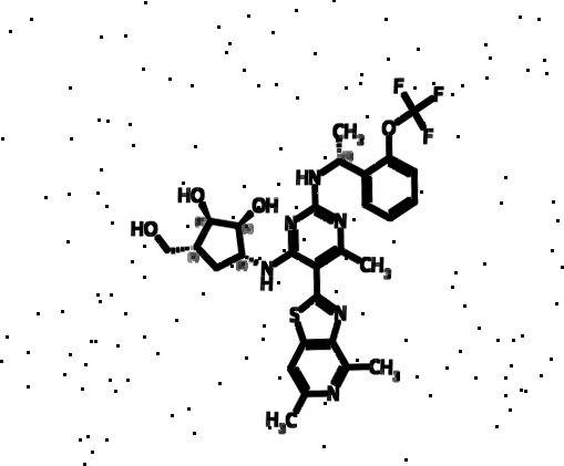 Cc1cc2sc(-c3c(C)nc(N[C@H](C)c4ccccc4OC(F)(F)F)nc3N[C@@H]3C[C@H](CO)[C@@H](O)[C@H]3O)nc2c(C)n1